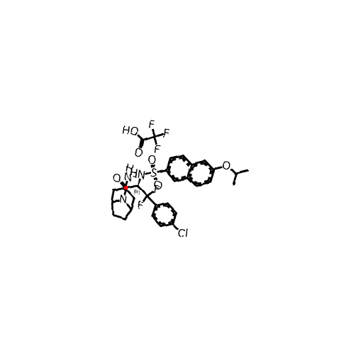 CC(C)Oc1ccc2cc(S(=O)(=O)N[C@H](C(=O)N3C4CCC3CC(N)C4)C(F)(F)c3ccc(Cl)cc3)ccc2c1.O=C(O)C(F)(F)F